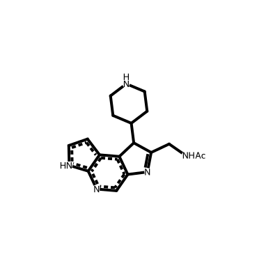 CC(=O)NCC1=Nc2cnc3[nH]ccc3c2C1C1CCNCC1